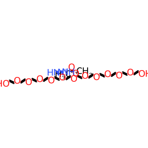 COC(C)=O.N=[N+]=N.OCCOCCOCCOCCOCCOCCOCCOCCOCCOCCOCCOCCO